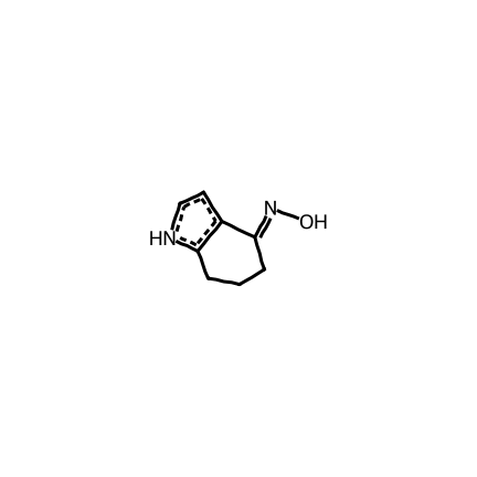 O/N=C1\CCCc2[nH]ccc21